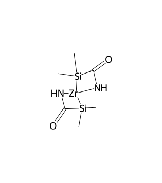 C[Si]1(C)C(=O)[NH][Zr]12[NH]C(=O)[Si]2(C)C